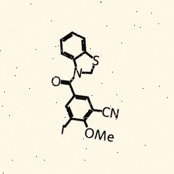 COc1c(I)cc(C(=O)N2CSc3ccccc32)cc1C#N